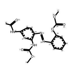 COC(=O)Nc1nc(NC(C)=O)ccc1/N=N/c1ccccc1OC(=O)OC